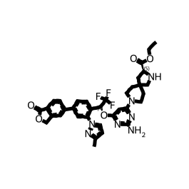 CCOC(=O)[C@@H]1CC2(CCN(c3cc(O[C@H](c4ccc(-c5ccc6c(c5)COC6=O)cc4-n4ccc(C)n4)C(F)(F)F)nc(N)n3)CC2)CN1